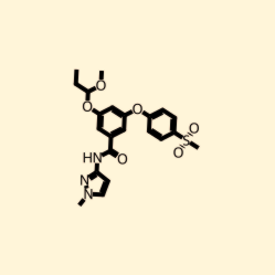 CCC(OC)Oc1cc(Oc2ccc(S(C)(=O)=O)cc2)cc(C(=O)Nc2ccn(C)n2)c1